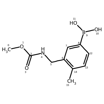 COC(=O)NCc1cc(B(O)O)ccc1C